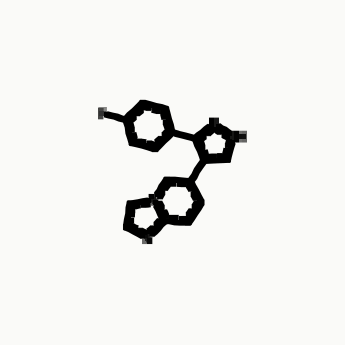 Fc1ccc(-c2n[nH]cc2-c2ccc3nccn3c2)cc1